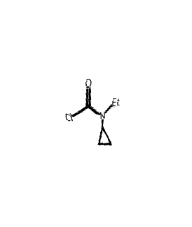 CCN(C(=O)Cl)C1CC1